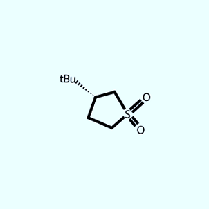 CC(C)(C)[C@H]1CCS(=O)(=O)C1